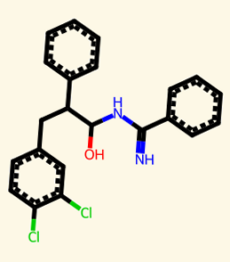 N=C(NC(O)C(Cc1ccc(Cl)c(Cl)c1)c1ccccc1)c1ccccc1